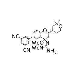 CN/C(N)=N\C1(OC)CC(C2CCOC(C)(C)C2)Oc2ccc(-c3cc(C#N)cc(C#N)c3)cc21